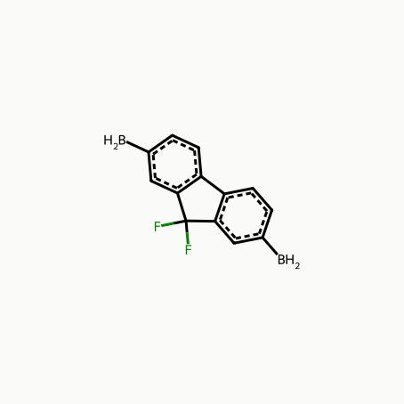 Bc1ccc2c(c1)C(F)(F)c1cc(B)ccc1-2